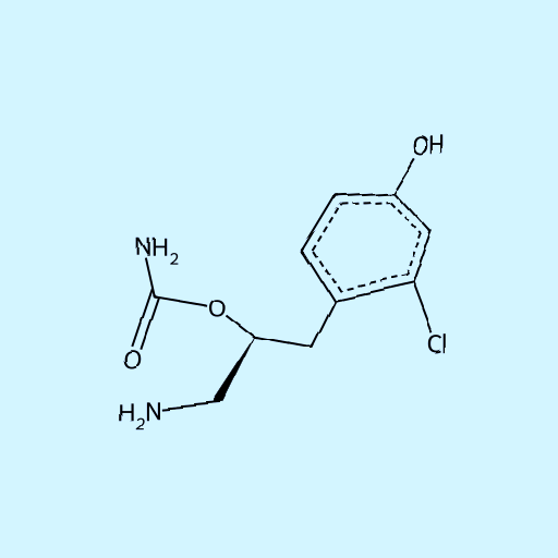 NC[C@H](Cc1ccc(O)cc1Cl)OC(N)=O